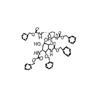 O=C(NC[C@@H]1CCC(NC(=O)OCc2ccccc2)[C@@H](OC2C(O)[C@@H](O)[C@H](NC(=O)OCc3ccccc3)C(OCc3ccccc3)[C@@H]2NC(=O)OCc2ccccc2)O1)OCc1ccccc1